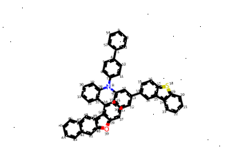 c1ccc(-c2ccc(N(c3cccc(-c4ccc5sc6ccccc6c5c4)c3)c3ccccc3-c3cccc4oc5cc6ccccc6cc5c34)cc2)cc1